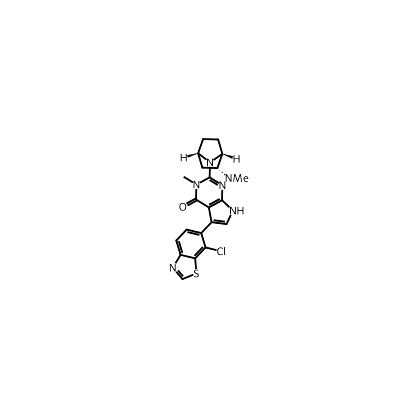 CN[C@@H]1C[C@@H]2CC[C@H]1N2c1nc2[nH]cc(-c3ccc4ncsc4c3Cl)c2c(=O)n1C